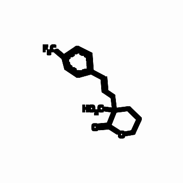 O=C(O)C1(CC=Cc2ccc(C(F)(F)F)cc2)CCCOC1=O